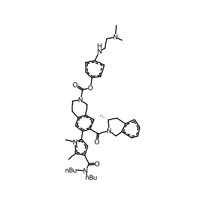 CCCCN(CCCC)C(=O)c1cc(-c2cc3c(cc2C(=O)N2Cc4ccccc4C[C@H]2C)CN(C(=O)Oc2ccc(NCCN(C)C)cc2)CC3)n(C)c1C